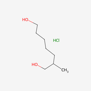 CC(CO)CCCCCO.Cl